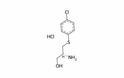 Cl.N[C@H](CO)CSc1ccc(Cl)cc1